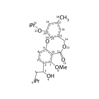 COc1c(C(O)CC(C)C)ccc2c1C(=O)OCc1cc(C)cc(OC(C)C)c1O2